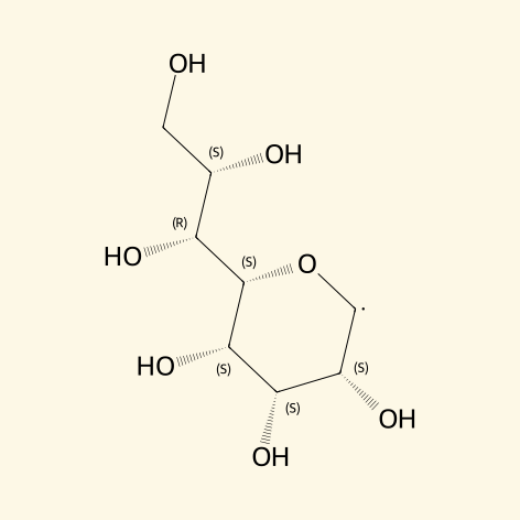 OC[C@H](O)[C@@H](O)[C@@H]1O[CH][C@H](O)[C@H](O)[C@@H]1O